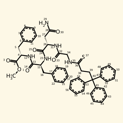 COC(=O)[C@H](Cc1ccccc1)NC(=O)[C@H](Cc1ccccc1)NC(=O)[C@H](CC(N)=O)NC(=O)CNC(=S)CCC(c1ccccc1)(c1ccccc1)c1ccccc1